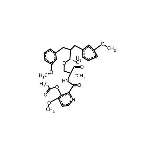 COc1cccc(CC(Cc2cccc(OC)c2)[C@H](C)OC[C@@](C)(C=O)NC(=O)c2nccc(OC)c2OC(C)=O)c1